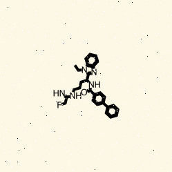 CCn1c(C(CCCNC(=N)CF)NC(=O)c2ccc(-c3ccccc3)cc2)nc2ccccc21